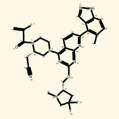 C=C(F)C(=O)N1CCN(c2nc(OC[C@@H]3CC(F)(F)CN3C)nc3nc(-c4c(C)ccc5[nH]ncc45)ccc23)C[C@@H]1CC#N